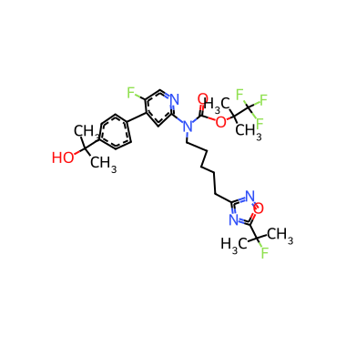 CC(C)(O)c1ccc(-c2cc(N(CCCCCc3noc(C(C)(C)F)n3)C(=O)OC(C)(C)C(F)(F)F)ncc2F)cc1